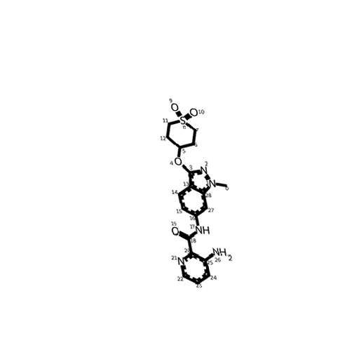 Cn1nc(OC2CCS(=O)(=O)CC2)c2ccc(NC(=O)c3ncccc3N)cc21